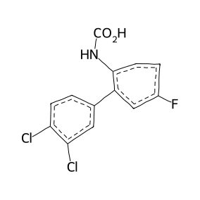 O=C(O)Nc1ccc(F)cc1-c1ccc(Cl)c(Cl)c1